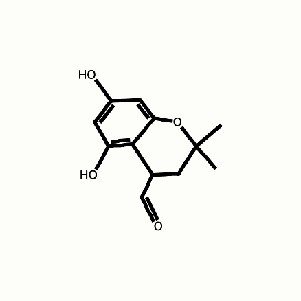 CC1(C)CC(C=O)c2c(O)cc(O)cc2O1